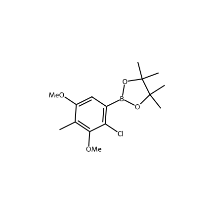 COc1cc(B2OC(C)(C)C(C)(C)O2)c(Cl)c(OC)c1C